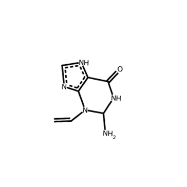 C=CN1c2nc[nH]c2C(=O)NC1N